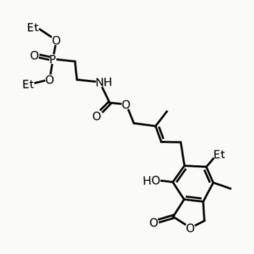 CCOP(=O)(CCNC(=O)OC/C(C)=C/Cc1c(O)c2c(c(C)c1CC)COC2=O)OCC